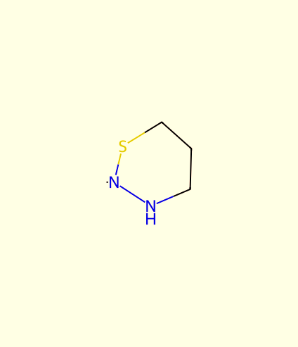 C1CN[N]SC1